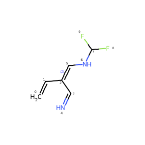 C=C/C(C=N)=C/NC(F)F